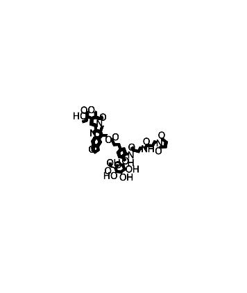 CC[C@@]1(O)C(=O)OCc2c1cc1n(c2=O)Cc2c-1nc1cc3c(cc1c2COC(=O)CCc1ccc(O[C@@H]2O[C@H](C(=O)O)[C@@H](O)[C@H](O)[C@H]2O)c(NC(=O)CCNC(=O)CCN2C(=O)C=CC2=O)c1)CCO3